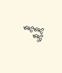 [Os].c1ccc(-c2cc3ccc4ncccc4c3nc2-c2ccccc2)cc1.c1ccc(-c2cc3ccc4ncccc4c3nc2-c2ccccc2)cc1.c1ccc(-c2cc3ccc4ncccc4c3nc2-c2ccccc2)cc1